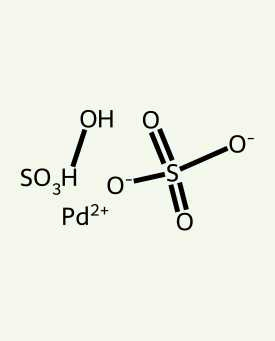 O=S(=O)(O)O.O=S(=O)([O-])[O-].[Pd+2]